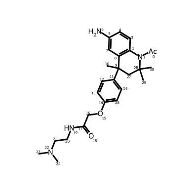 CC(=O)N1c2ccc(N)cc2C(C)(c2ccc(OCC(=O)NCCN(C)C)cc2)CC1(C)C